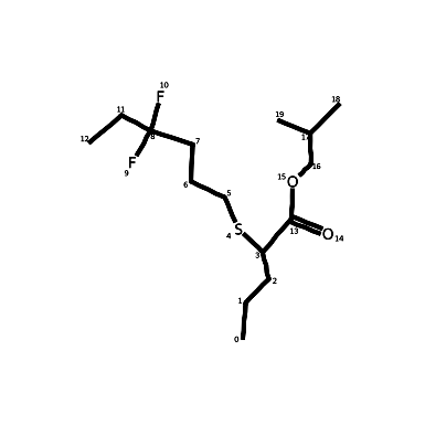 CCCC(SCCCC(F)(F)CC)C(=O)OCC(C)C